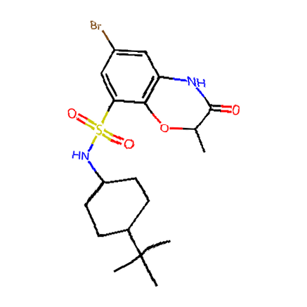 CC1Oc2c(cc(Br)cc2S(=O)(=O)NC2CCC(C(C)(C)C)CC2)NC1=O